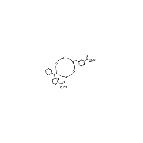 COC(=O)c1cccc(CN2CCOCCOCCN(C(c3ccccc3)c3cccc(C(=O)OC)n3)CCOCCOCC2)c1